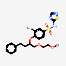 CCOCCOCC(CCc1ccccc1)Oc1ccc(S(=O)(=O)Nc2ncns2)cc1C#N